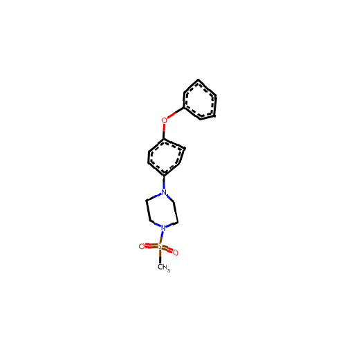 CS(=O)(=O)N1CCN(c2ccc(Oc3ccccc3)cc2)CC1